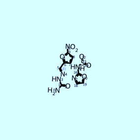 NC(=O)N/N=C/c1ccc([N+](=O)[O-])o1.O=[SH](=O)Nc1ncco1